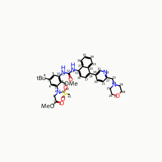 COC(=O)CN(c1cc(C(C)(C)C)cc(NC(=O)Nc2ccc(-c3ccc(CN4CCOCC4)nc3)c3ccccc23)c1OC)S(C)(=O)=O